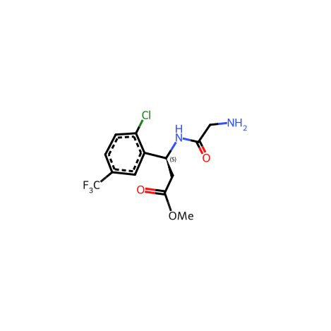 COC(=O)C[C@H](NC(=O)CN)c1cc(C(F)(F)F)ccc1Cl